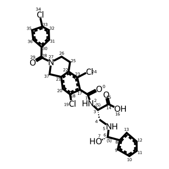 O=C(N[C@@H](CN[C@@H](O)c1ccccc1)C(=O)O)c1c(Cl)cc2c(c1Cl)CCN(C(=O)c1ccc(Cl)cc1)C2